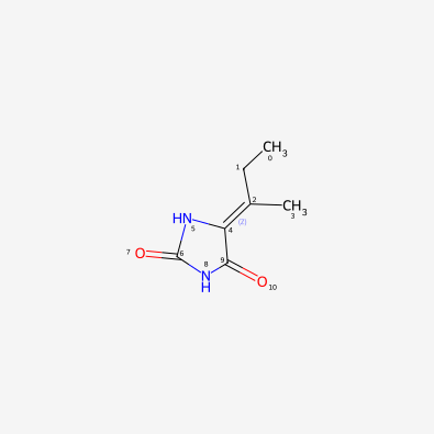 CC/C(C)=C1\NC(=O)NC1=O